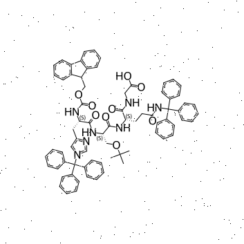 CC(C)(C)OC[C@H](NC(=O)[C@H](Cc1cn(C(c2ccccc2)(c2ccccc2)c2ccccc2)cn1)NC(=O)OCC1c2ccccc2-c2ccccc21)C(=O)N[C@@H](CCC(=O)NC(c1ccccc1)(c1ccccc1)c1ccccc1)C(=O)NCC(=O)O